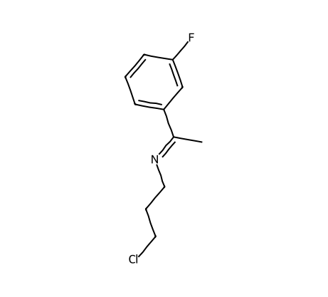 C/C(=N\CCCCl)c1cccc(F)c1